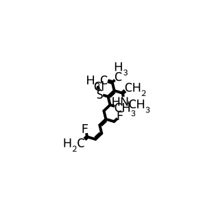 C=C(F)/C=C\C=C(/CF)CC(C)/C(SCl)=C(/C(=C)C)C(=C)NC